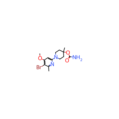 COc1cc(N2CCC(C)(OC(N)=O)CC2)nc(C)c1Br